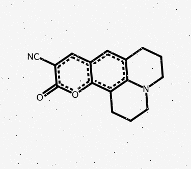 N#Cc1cc2cc3c4c(c2oc1=O)CCCN4CCC3